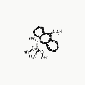 CCCO[Si](C)(OCCC)OCCC.O=C(O)c1c2ccccc2cc2ccccc12